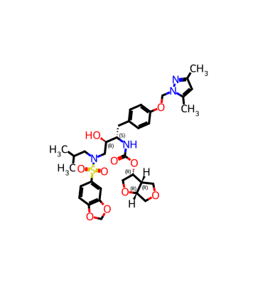 Cc1cc(C)n(COc2ccc(C[C@H](NC(=O)O[C@H]3CO[C@H]4COC[C@H]43)[C@H](O)CN(CC(C)C)S(=O)(=O)c3ccc4c(c3)OCO4)cc2)n1